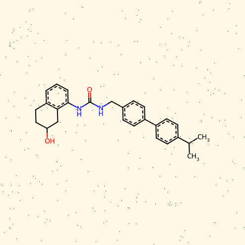 CC(C)c1ccc(-c2ccc(CNC(=O)Nc3cccc4c3CC(O)CC4)cc2)cc1